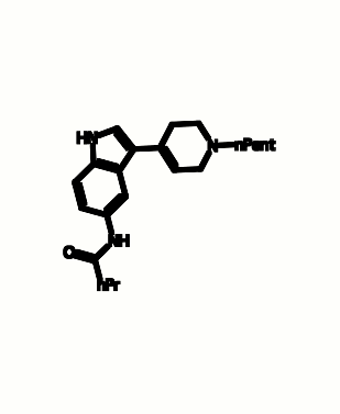 CCCCCN1CC=C(c2c[nH]c3ccc(NC(=O)CCC)cc23)CC1